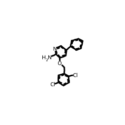 Nc1ncc(-c2ccccc2)cc1OCc1cc(Cl)ccc1Cl